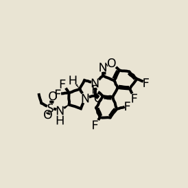 CCS(=O)(=O)N[C@@H]1CN2C(=O)N(c3noc4cc(F)c(F)c(-c5c(F)cc(F)cc5F)c34)C[C@@H]2C1(F)F